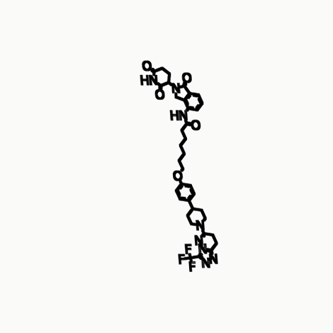 O=C1CCC(N2Cc3c(NC(=O)CCCCCCOc4ccc(C5CCN(C6=Nn7c(nnc7C(F)(F)F)CC6)CC5)cc4)cccc3C2=O)C(=O)N1